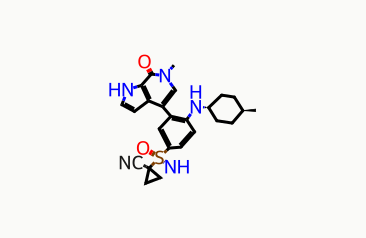 Cn1cc(-c2cc(S(=N)(=O)C3(C#N)CC3)ccc2N[C@H]2CC[C@H](C)CC2)c2cc[nH]c2c1=O